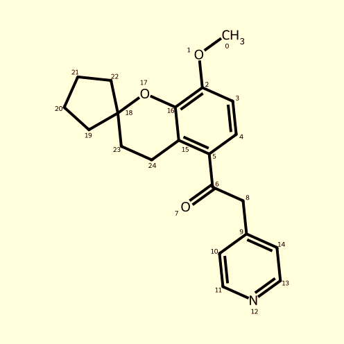 COc1ccc(C(=O)Cc2ccncc2)c2c1OC1(CCCC1)CC2